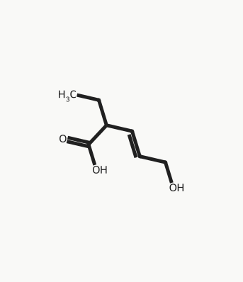 CCC(C=CCO)C(=O)O